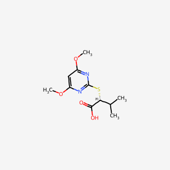 COc1cc(OC)nc(S[C@@H](C(=O)O)C(C)C)n1